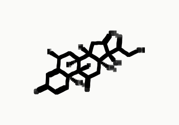 C=C1C[C@H]2[C@@H]3C[C@H](F)C4=CC(=O)C=C[C@]4(C)[C@@]3(F)C(=O)C[C@]2(C)[C@@]1(O)C(=O)CO